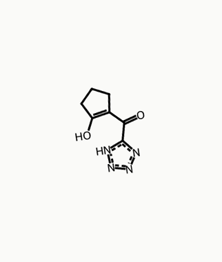 O=C(C1=C(O)CCC1)c1nnn[nH]1